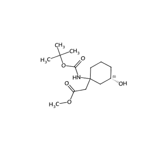 COC(=O)CC1(NC(=O)OC(C)(C)C)CCC[C@H](O)C1